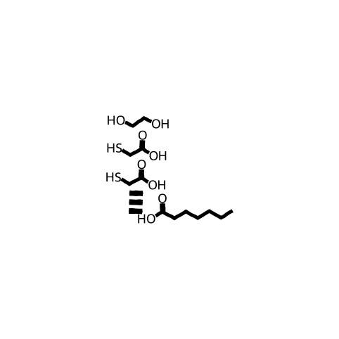 C=C.C=C.C=C.CCCCCCC(=O)O.O=C(O)CS.O=C(O)CS.OCCO